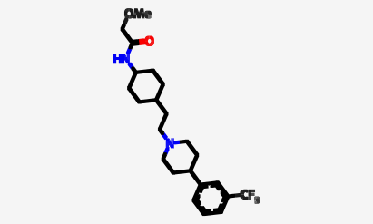 COCC(=O)NC1CCC(CCN2CCC(c3cccc(C(F)(F)F)c3)CC2)CC1